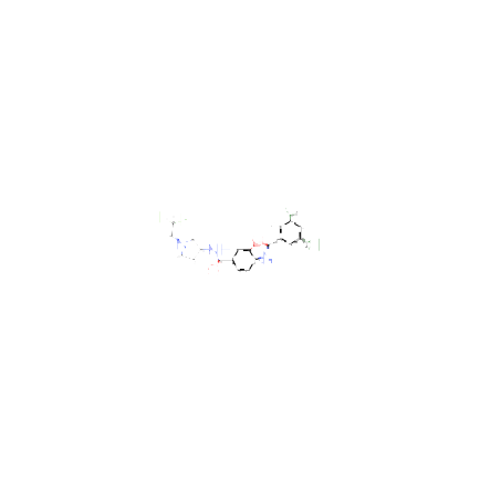 O=C(NC1CCN(CC(F)F)C1)c1ccc2nc(-c3cc(Cl)cc(Cl)c3)oc2c1